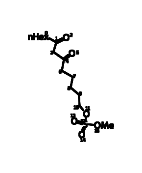 CCCCCCC(=O)CC(=O)CCCCCOS(=O)(=O)OC